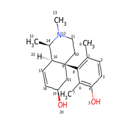 Cc1ccc(O)c(C)c1[C@]12CCN(C)[C@H](C)[C@@H]1C=C[C@H](O)C2